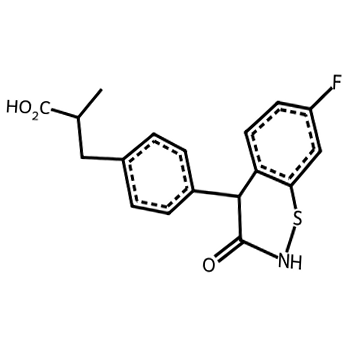 CC(Cc1ccc(C2C(=O)NSc3cc(F)ccc32)cc1)C(=O)O